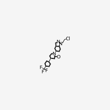 O=c1cc(-c2ccc(C(F)(F)F)cc2)ccn1-c1ccc2c(cnn2CCCl)c1